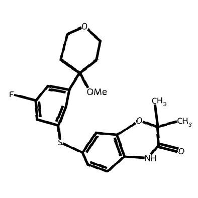 COC1(c2cc(F)cc(Sc3ccc4c(c3)OC(C)(C)C(=O)N4)c2)CCOCC1